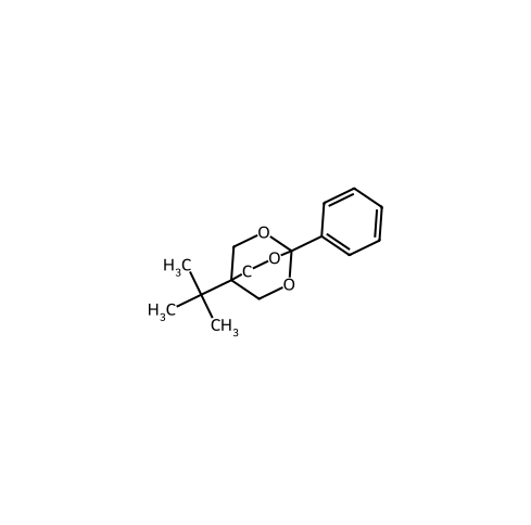 CC(C)(C)C12COC(c3ccccc3)(OC1)OC2